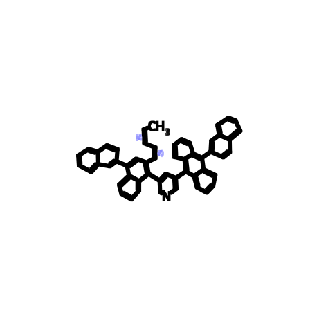 C/C=C\C=C/c1cc(-c2ccc3ccccc3c2)c2ccccc2c1-c1cncc(-c2c3ccccc3c(-c3ccc4ccccc4c3)c3ccccc23)c1